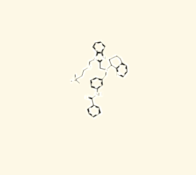 C[Si](C)(C)CCOCn1c(CN(Cc2cccc(NC(=O)c3ccccc3)c2)C2CCCc3cccnc32)nc2ccccc21